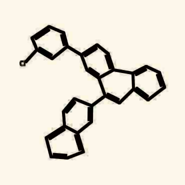 Clc1cccc(-c2ccc3c(c2)c(-c2ccc4ccccc4c2)cc2ccccc23)c1